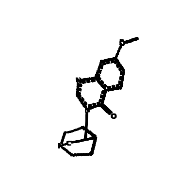 COc1ccc2c(=O)n(C3CN4CCC3CC4)cnc2c1